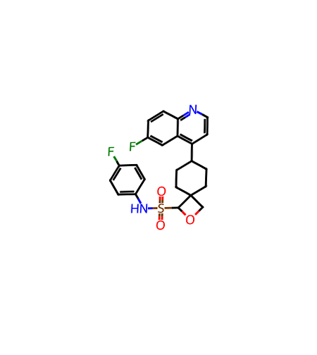 O=S(=O)(Nc1ccc(F)cc1)C1OCC12CCC(c1ccnc3ccc(F)cc13)CC2